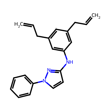 C=CCc1[c]c(CC=C)cc(Nc2ccn(-c3ccccc3)n2)c1